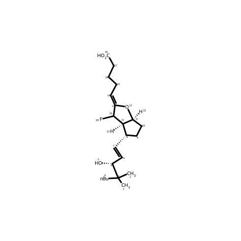 CCCCC(C)(C)[C@H](O)/C=C/[C@H]1CC[C@@H]2O/C(=C\CCCC(=O)O)C(F)[C@@H]21